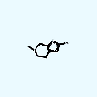 CC(=O)c1cc2c(s1)CN(C)CC2